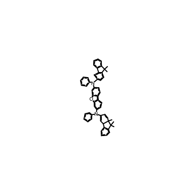 CC1(C)c2ccccc2-c2cc(N(c3ccccc3)c3ccc4c(c3)oc3cc(N(C5=CC6c7ccccc7C(C)(C)C6(C)C=C5)c5ccccc5)ccc34)ccc21